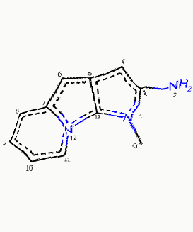 Cn1c(N)cc2cc3ccccn3c21